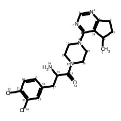 CC1CCc2ncnc(N3CCN(C(=O)C(N)Cc4ccc(Cl)c(Cl)c4)CC3)c21